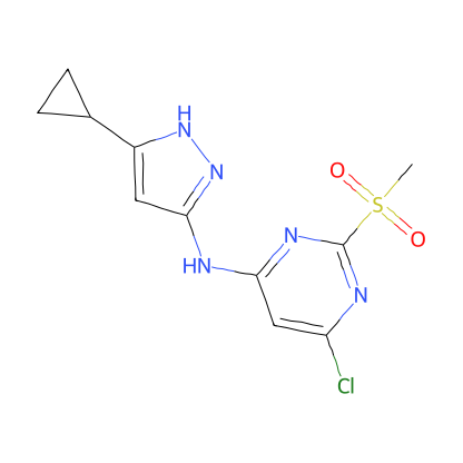 CS(=O)(=O)c1nc(Cl)cc(Nc2cc(C3CC3)[nH]n2)n1